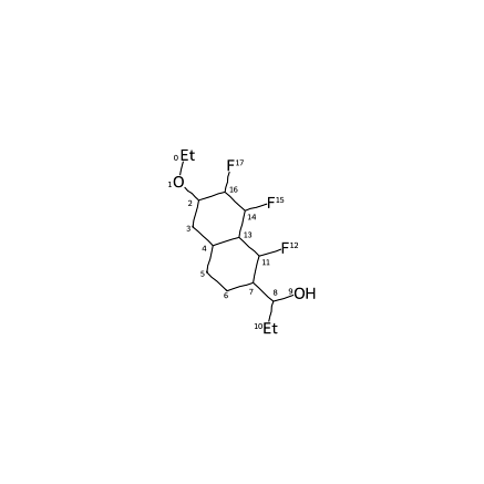 CCOC1CC2CCC(C(O)CC)C(F)C2C(F)C1F